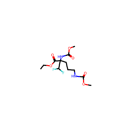 CCOC(=O)C(CCCNC(=O)OC)(NC(=O)OC)C(F)F